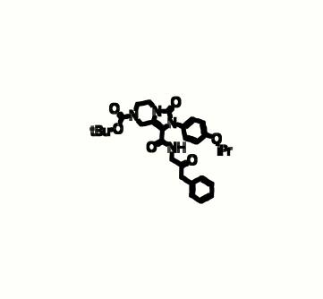 CC(C)Oc1ccc(-n2c(C(=O)NCC(=O)Cc3ccccc3)c3n(c2=O)CCN(C(=O)OC(C)(C)C)C3)cc1